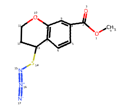 COC(=O)c1ccc2c(c1)OCCC2SN=[N+]=[N-]